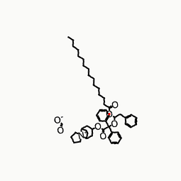 CCCCCCCCCCCCCCCC(=O)OC(Cc1ccccc1)OC(C(=O)OC1CC2CCC(C1)[N+]21CCCC1)(c1ccccc1)c1ccccc1.O=C[O-]